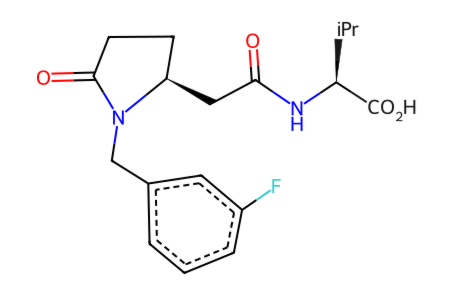 CC(C)[C@H](NC(=O)C[C@@H]1CCC(=O)N1Cc1cccc(F)c1)C(=O)O